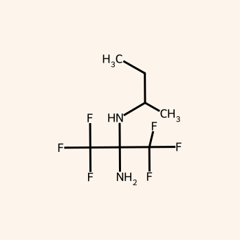 CCC(C)NC(N)(C(F)(F)F)C(F)(F)F